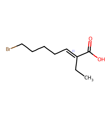 CC/C(=C\CCCCBr)C(=O)O